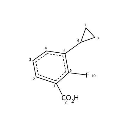 O=C(O)c1cccc(C2CC2)c1F